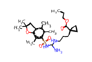 C=CCOC(=O)C1(CCCNC(N)NS(=O)(=O)c2c(C)c(C)c3c(c2C)OC(C)(C)C3)CC1